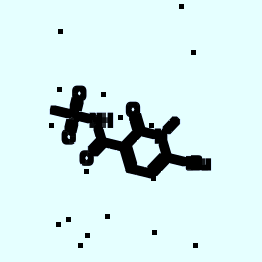 Cn1c(C(C)(C)C)ccc(C(=O)NS(C)(=O)=O)c1=O